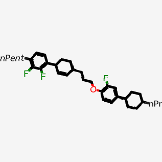 CCCCCc1ccc(C2C=CC(CCCOc3ccc(C4CCC(CCC)CC4)cc3F)CC2)c(F)c1F